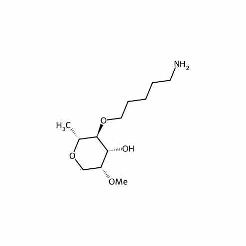 CO[C@@H]1[CH]O[C@H](C)[C@@H](OCCCCCN)[C@@H]1O